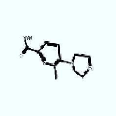 CNC(=O)c1ccc(N2CCNCC2)c(F)n1